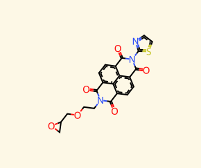 O=C1c2ccc3c4c(ccc(c24)C(=O)N1CCOCC1CO1)C(=O)N(c1nccs1)C3=O